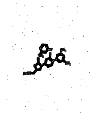 CC(=O)NCC1CN(c2ccc(-c3cc(C)nc(C)c3)c(F)c2)C(=O)O1.Nc1cccc(F)c1